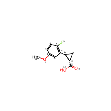 COc1ccc(F)c(C2C[C@H]2C(=O)O)c1